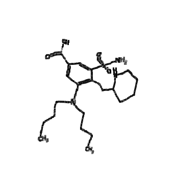 CCCCN(CCCC)c1cc(C(=O)O)cc(S(N)(=O)=O)c1CC1CCCCN1